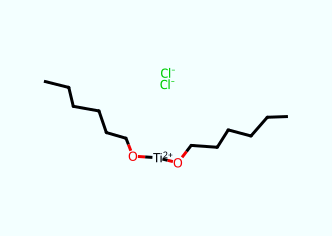 CCCCCC[O][Ti+2][O]CCCCCC.[Cl-].[Cl-]